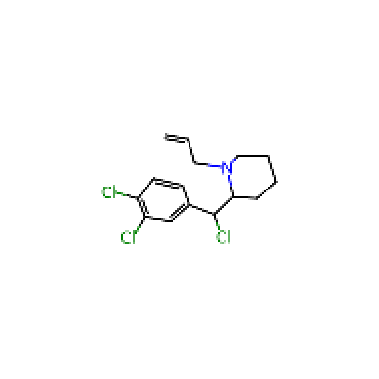 C=CCN1CCCCC1C(Cl)c1ccc(Cl)c(Cl)c1